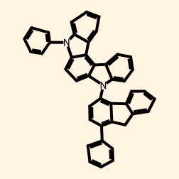 c1ccc(-c2ccc(-n3c4ccccc4c4c5c6ccccc6n(-c6ccccc6)c5ccc43)c3c2Cc2ccccc2-3)cc1